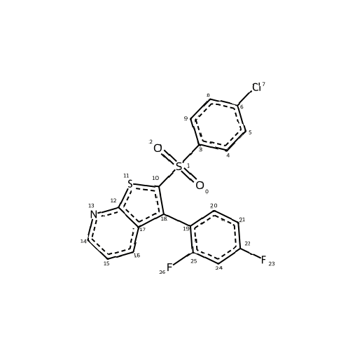 O=S(=O)(c1ccc(Cl)cc1)c1sc2ncccc2c1-c1ccc(F)cc1F